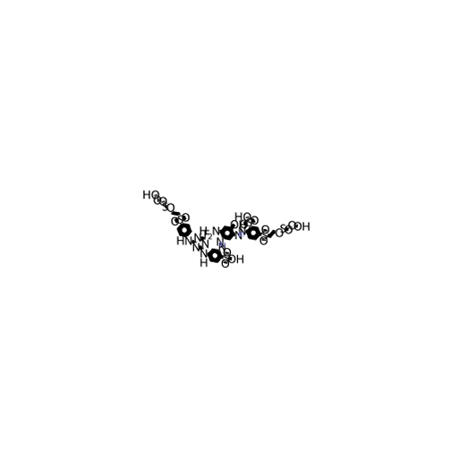 Nc1cc(O)c(/N=N/c2ccc(S(=O)(=O)CCOSOOO)cc2S(=O)(=O)O)cc1/N=N/c1cc(Nc2nc(F)nc(Nc3ccc(S(=O)(=O)CCOSOOO)cc3)n2)ccc1S(=O)(=O)O